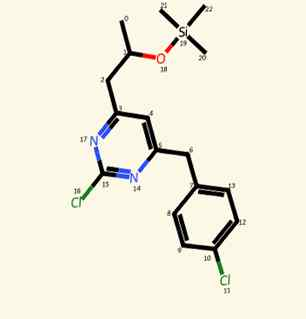 CC(Cc1cc(Cc2ccc(Cl)cc2)nc(Cl)n1)O[Si](C)(C)C